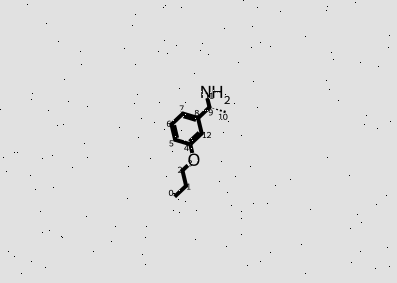 CCCOc1cccc([C@@H](C)N)c1